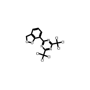 ClC(Cl)(Cl)c1nc(-c2cccc3c2OOC3)nc(C(Cl)(Cl)Cl)n1